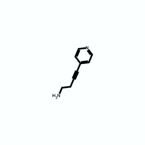 NCCC#Cc1ccncc1